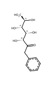 O=C(O)[C@@H](O)[C@@H](O)[C@H](O)[C@@H](O)C(=O)Cc1ccccc1